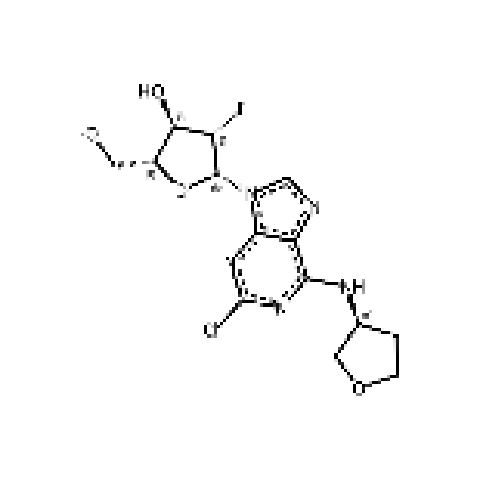 [O]C[C@H]1O[C@@H](n2cnc3c(N[C@H]4CCOC4)nc(Cl)nc32)[C@@H](F)[C@@H]1O